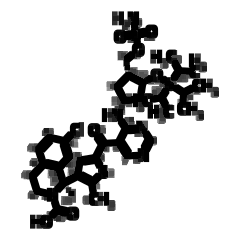 Cc1sc(C(=O)c2cncnc2N[C@@H]2C[C@H](COS(N)(=O)=O)[C@@H](O[Si](C(C)C)(C(C)C)C(C)C)C2)cc1[C@]1(I)c2cc(Cl)ccc2CCN1C(=O)O